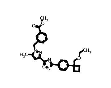 CCOCC1(c2ccc(-c3noc(-c4cc(C)n(Cc5cccc(C(=O)OC)c5)n4)n3)cc2)CCC1